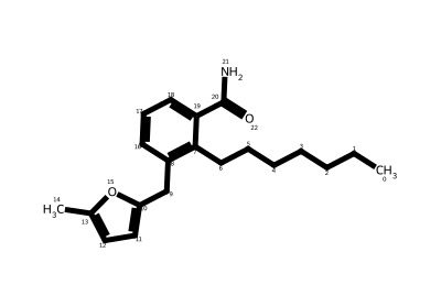 CCCCCCCc1c(Cc2ccc(C)o2)cccc1C(N)=O